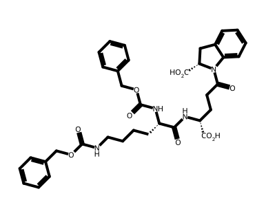 O=C(NCCCC[C@H](NC(=O)OCc1ccccc1)C(=O)N[C@H](CCC(=O)N1c2ccccc2C[C@H]1C(=O)O)C(=O)O)OCc1ccccc1